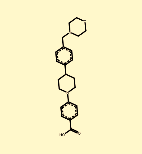 O=C(O)c1ccc(N2CCC(c3ccc(CN4CCOCC4)cc3)CC2)cc1